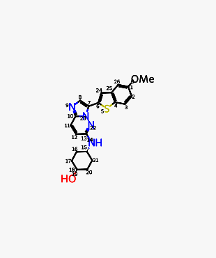 COc1ccc2sc(-c3cnc4ccc(N[C@H]5CC[C@H](O)CC5)nn34)cc2c1